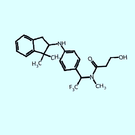 CN(C(=O)CCO)C(c1ccc(NC2Cc3ccccc3C2(C)C)cc1)C(F)(F)F